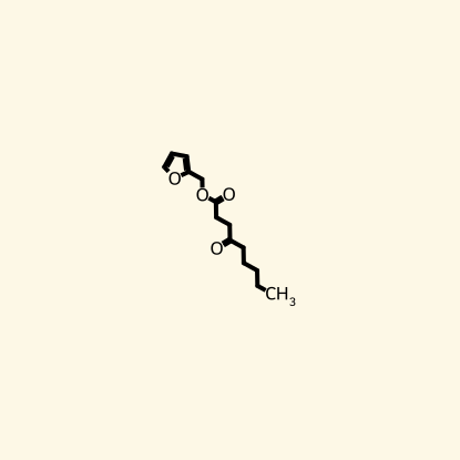 CCCCCC(=O)CCC(=O)OCc1ccco1